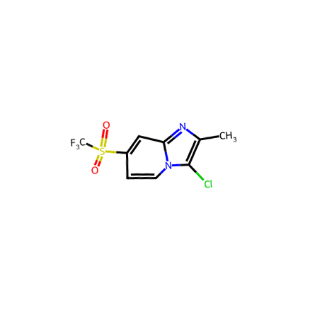 Cc1nc2cc(S(=O)(=O)C(F)(F)F)ccn2c1Cl